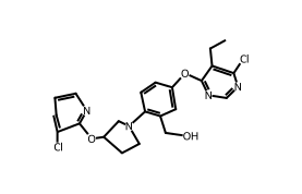 CCc1c(Cl)ncnc1Oc1ccc(N2CCC(Oc3ncccc3Cl)C2)c(CO)c1